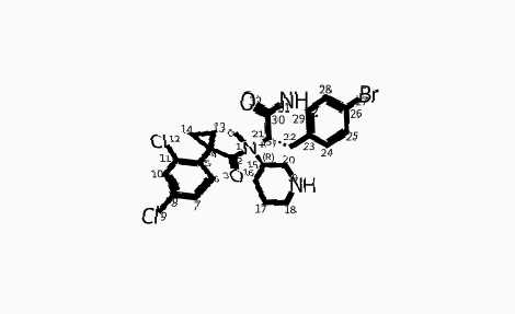 C[N+](C(=O)C1(c2ccc(Cl)cc2Cl)CC1)([C@@H]1CCCNC1)[C@@H](Cc1ccc(Br)cc1)C(N)=O